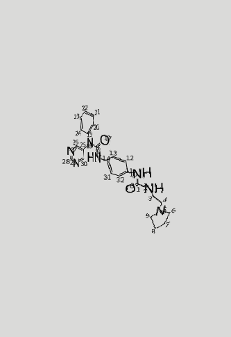 O=C(NCCN1CCCC1)Nc1ccc(NC(=O)N(c2ccccc2)c2cncnc2)cc1